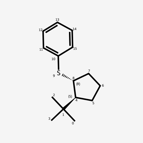 CC(C)(C)[C@@H]1CCC[C@H]1Sc1ccccc1